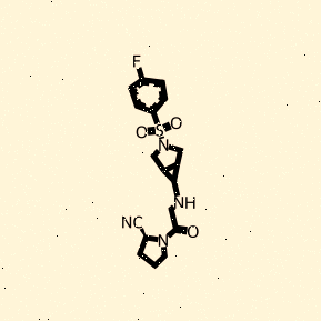 N#C[C@@H]1CCCN1C(=O)CNC1C2CN(S(=O)(=O)c3ccc(F)cc3)CC21